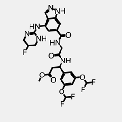 COC(=O)CC(NC(=O)CNC(=O)c1cc(NC2=NCC(F)CN2)c2cn[nH]c2c1)c1cc(OC(F)F)cc(OC(F)F)c1